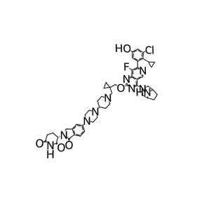 O=C1CC[C@H](N2Cc3cc(N4CCN(C5CCN(CC6(COc7nc(N8CC9CCC(C8)N9)c8cnc(-c9cc(O)cc(Cl)c9C9CC9)c(F)c8n7)CC6)CC5)CC4)ccc3C2=O)C(=O)N1